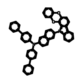 c1ccc(-c2ccc(N(c3ccc(-c4ccccc4)cc3)c3ccc4cc(-n5c6ccccc6c6ccc7c(c65)Oc5ccccc5O7)ccc4c3)cc2)cc1